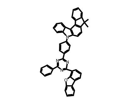 CC1(C)c2ccccc2-c2c1ccc1c2c2ccccc2n1-c1ccc(-c2nc(-c3ccccc3)nc(-c3cccc4c3oc3ccccc34)n2)cc1